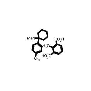 CNC1(c2ccc(C(F)(F)F)cc2)CCCCC1.Cc1c(C(=O)O)cccc1C(=O)O